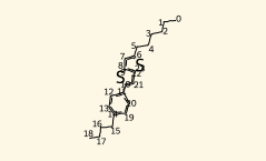 CCCCCCc1cc2sc(-c3ccc(CCCC)cc3)cc2s1